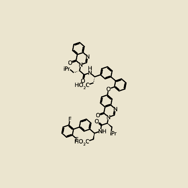 CC(C)C[C@@H](C(=O)N[C@@H](CC(=O)O)c1cccc(-c2ccccc2Oc2ccc3c(=O)n([C@@H](CC(C)C)C(=O)N[C@@H](CC(=O)O)c4cccc(-c5c(F)cccc5F)c4)cnc3c2)c1)n1cnc2ccccc2c1=O